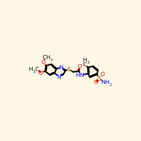 COc1cc2ncc(SCC(=O)Nc3cc(S(N)(=O)=O)ccc3C)nc2cc1OC